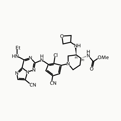 CCNc1nc(Nc2cc(C#N)cc(N3CC[C@@H](NC(=O)OC)[C@H](NC4COC4)C3)c2Cl)nn2c(C#N)cnc12